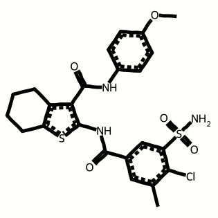 COc1ccc(NC(=O)c2c(NC(=O)c3cc(C)c(Cl)c(S(N)(=O)=O)c3)sc3c2CCCC3)cc1